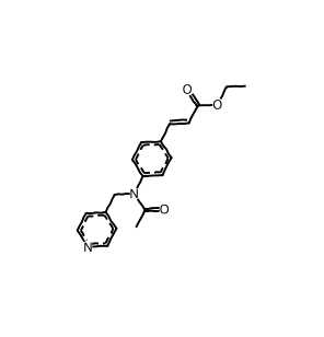 CCOC(=O)/C=C/c1ccc(N(Cc2ccncc2)C(C)=O)cc1